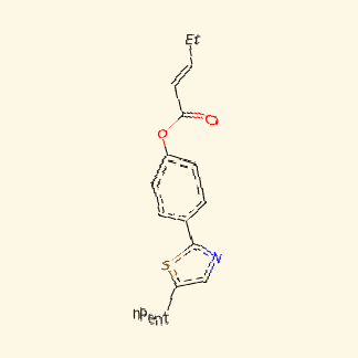 CCC=CC(=O)Oc1ccc(-c2ncc(CCCCC)s2)cc1